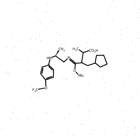 CC(C(=O)O)C(CC1CCCC1)C(=NC[C@H](C)Nc1ccc(OC(F)(F)F)cc1)OC(C)(C)C